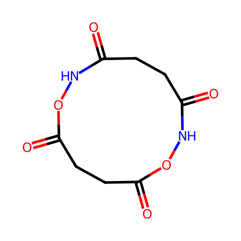 O=C1CCC(=O)NOC(=O)CCC(=O)ON1